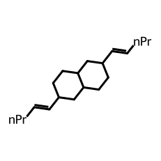 CCCC=CC1CCC2CC(C=CCCC)CCC2C1